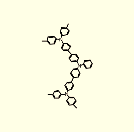 Cc1ccc(N(c2ccc(C)cc2)c2ccc(-c3ccc(N(c4ccccc4)c4ccc(-c5ccc(N(c6ccc(C)cc6)c6ccc(C)cc6)cc5)cc4)cc3)cc2)cc1